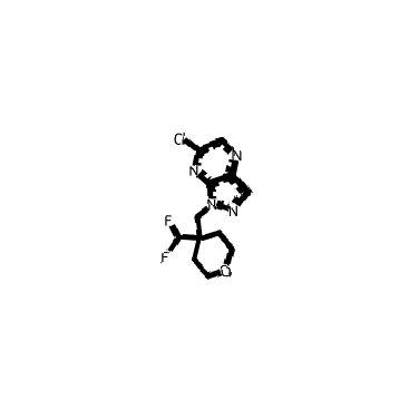 FC(F)C1(Cn2ncc3ncc(Cl)nc32)CCOCC1